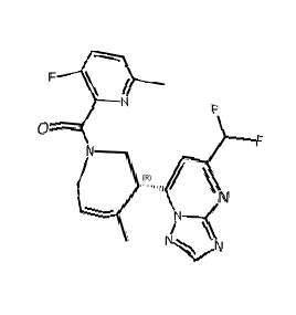 CC1=CCN(C(=O)c2nc(C)ccc2F)C[C@@H]1c1cc(C(F)F)nc2ncnn12